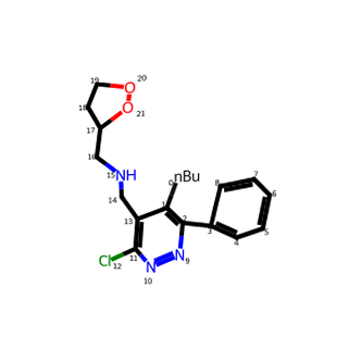 CCCCc1c(-c2ccccc2)nnc(Cl)c1CNCC1CCOO1